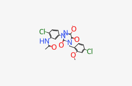 COc1cc(Cl)ccc1Cn1c(=O)c(OC)nn(-c2ccc(Cl)c(NC(C)=O)c2)c1=O